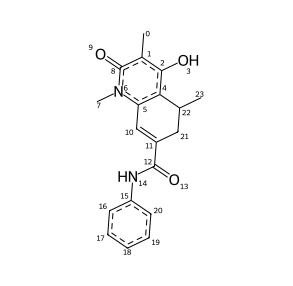 Cc1c(O)c2c(n(C)c1=O)C=C(C(=O)Nc1ccccc1)CC2C